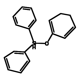 C1=CC(O[SiH](c2ccccc2)c2ccccc2)=CCC1